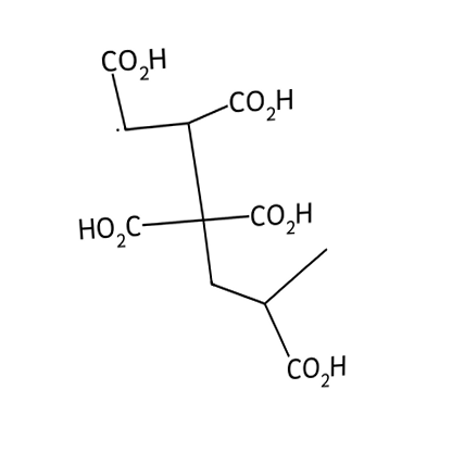 CC(CC(C(=O)O)(C(=O)O)C([CH]C(=O)O)C(=O)O)C(=O)O